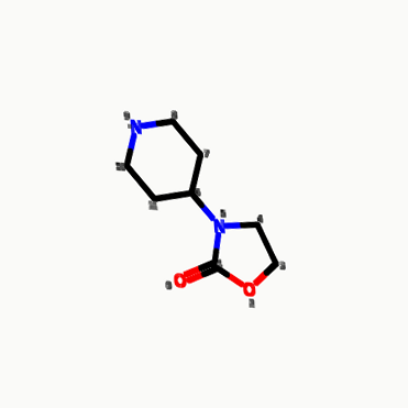 O=C1OCCN1C1CC[N]CC1